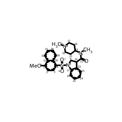 COc1ccc(S(=O)(=O)N2CC(C(=O)N(C)C3CCN(C)CC3)c3ccccc32)c2ccccc12